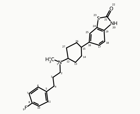 CN(CCCc1ccc(F)cc1)C1CCC(c2ccc3[nH]c(=O)sc3c2)CC1